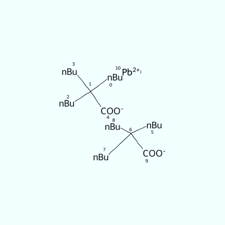 CCCCC(CCCC)(CCCC)C(=O)[O-].CCCCC(CCCC)(CCCC)C(=O)[O-].[Pb+2]